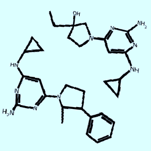 CC1C(c2ccccc2)CCN1c1cc(NC2CC2)nc(N)n1.CCC1(O)CCN(c2cc(NC3CC3)nc(N)n2)C1